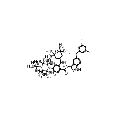 BC1(B)CC(Nc2cc(N3C(B)(B)C(B)(B)N(C(B)(B)B)C(B)(B)C3(B)B)ccc2C(=O)Nc2n[nH]c3ccc(Cc4cc(F)cc(F)c4)cc23)CC(B)(B)O1